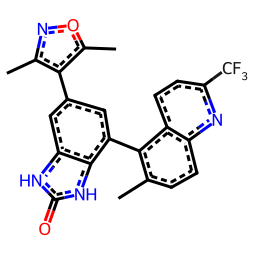 Cc1ccc2nc(C(F)(F)F)ccc2c1-c1cc(-c2c(C)noc2C)cc2[nH]c(=O)[nH]c12